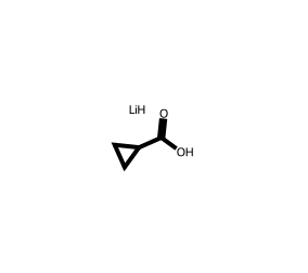 O=C(O)C1CC1.[LiH]